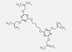 C=C(C)COc1nc(OCCCCOc2nc(OCC(=C)C)nc(OCC(=C)C)n2)nc(OCC(=C)C)n1